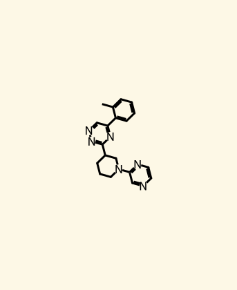 Cc1ccccc1-c1cnnc(C2CCCN(c3cnccn3)C2)n1